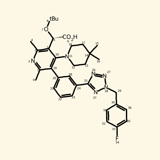 Cc1nc(C)c([C@H](OC(C)(C)C)C(=O)O)c(N2CCC(C)(C)CC2)c1-c1cccc(-c2nnn(Cc3ccc(F)cc3)n2)c1